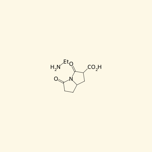 CCN.O=C(O)C1CC2CCC(=O)N2C1=O